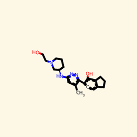 Cc1cc(N[C@@H]2CCCN(CCO)C2)nnc1-c1ccc2c(c1O)CCC2